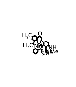 CN/C=C1/C=C(c2cc(=O)c3cc(C)cc(C(C)Nc4ccccc4C(=O)NSC)c3o2)C=CC1=N